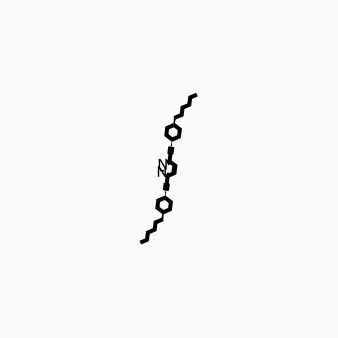 CCCCCC[C@H]1CC[C@H](C#Cc2ccc(C#C[C@H]3CC[C@H](CCCCCC)CC3)nn2)CC1